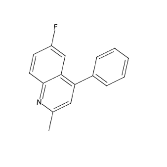 Cc1cc(-c2ccccc2)c2cc(F)ccc2n1